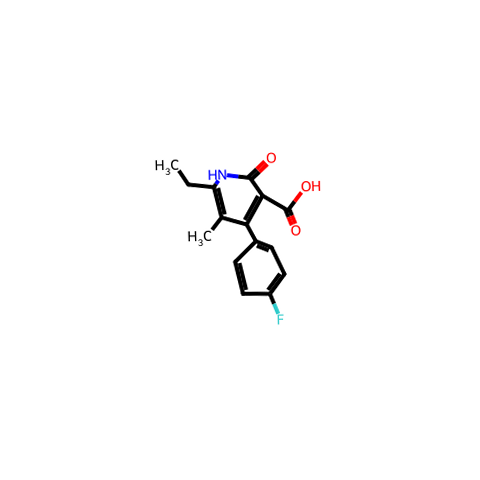 CCc1[nH]c(=O)c(C(=O)O)c(-c2ccc(F)cc2)c1C